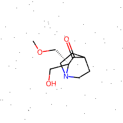 COC[C@]1(CO)C(=O)C2CCN1CC2